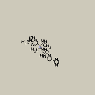 CC(=N)/C(=C(/C)NCC(=O)Nc1ccc(-c2cnccn2)cn1)c1ccc(N(C)C)nc1